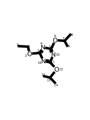 CCOc1nc(OC(C)C)nc(OC(C)C)n1